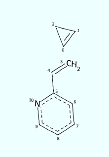 C1=CC1.C=Cc1ccccn1